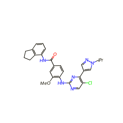 COc1cc(C(=O)Nc2cccc3c2CCC3)ccc1Nc1ncc(Cl)c(-c2cnn(C(C)C)c2)n1